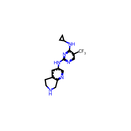 FC(F)(F)c1cnc(Nc2cnc3c(c2)CCNC3)nc1NC1CC1